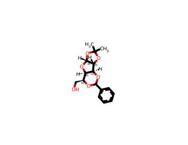 CC1(C)O[C@H]2O[C@H]3[C@H](OC(c4ccccc4)O[C@H]3CO)[C@H]2O1